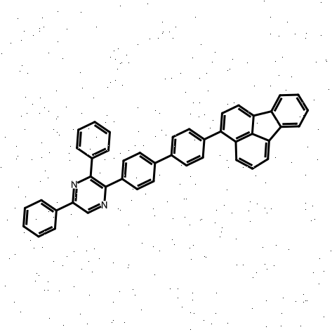 c1ccc(-c2cnc(-c3ccc(-c4ccc(-c5ccc6c7c(cccc57)-c5ccccc5-6)cc4)cc3)c(-c3ccccc3)n2)cc1